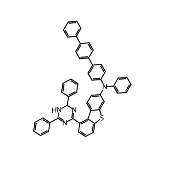 c1ccc(C2=NC(c3cccc4sc5cc(N(c6ccccc6)c6ccc(-c7ccc(-c8ccccc8)cc7)cc6)ccc5c34)=NC(c3ccccc3)N2)cc1